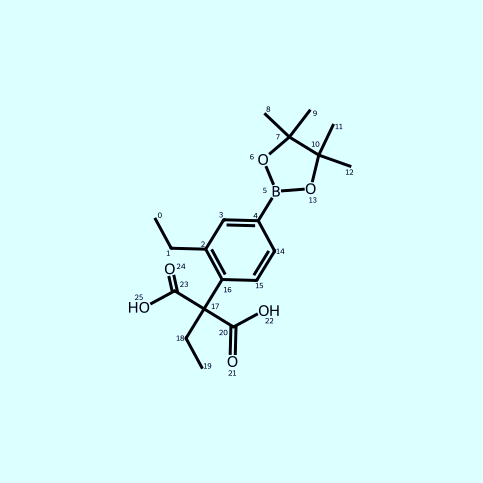 CCc1cc(B2OC(C)(C)C(C)(C)O2)ccc1C(CC)(C(=O)O)C(=O)O